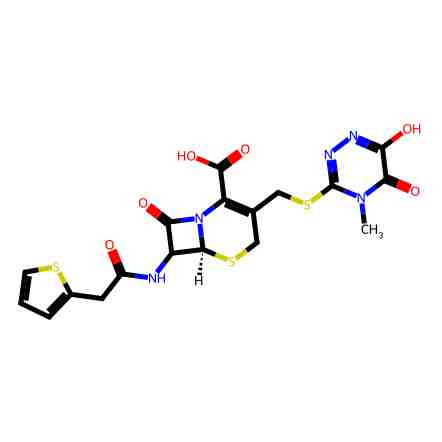 Cn1c(SCC2=C(C(=O)O)N3C(=O)C(NC(=O)Cc4cccs4)[C@@H]3SC2)nnc(O)c1=O